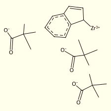 CC(C)(C)C(=O)[O-].CC(C)(C)C(=O)[O-].CC(C)(C)C(=O)[O-].[Zr+3][CH]1C=Cc2ccccc21